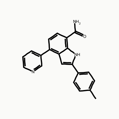 Cc1ccc(-c2cc3c(-c4cccnc4)ccc(C(N)=O)c3[nH]2)cc1